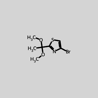 COC(C)(OC)c1nc(Br)cs1